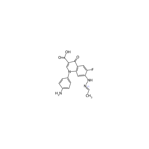 C/C=N/Nc1cc2c(cc1F)c(=O)c(C(=O)O)cn2-c1ccc(N)cc1